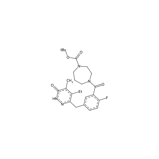 CCc1c(Cc2ccc(F)c(C(=O)N3CCCN(C(=O)OC(C)(C)C)CC3)c2)n[nH]c(=O)c1C